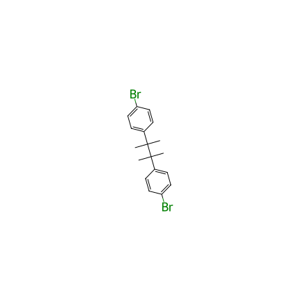 CC(C)(c1ccc(Br)cc1)C(C)(C)c1ccc(Br)cc1